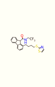 O=C(NCC(F)(F)F)C1c2ccccc2-c2cccc(CCCCSc3nccs3)c21